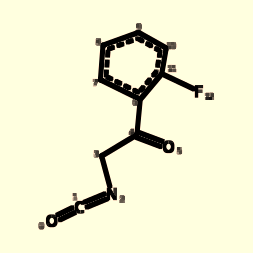 O=C=NCC(=O)c1ccccc1F